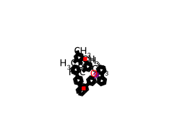 Cc1cc(C)c(B(c2cccc(-c3ccc(C45CC6CC(C4)CC(c4ccc(P7(=O)c8ccccc8-c8ccccc87)cc4)(C6)C5)cc3)c2)c2c(C)cc(C)cc2C)c(C)c1